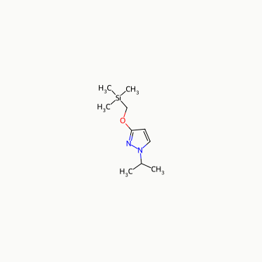 CC(C)n1ccc(OC[Si](C)(C)C)n1